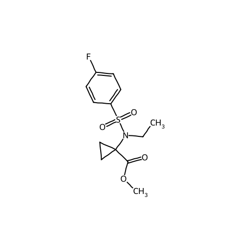 CCN(C1(C(=O)OC)CC1)S(=O)(=O)c1ccc(F)cc1